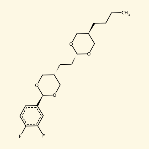 CCCC[C@H]1CO[C@H](CC[C@H]2CO[C@H](c3ccc(F)c(F)c3)OC2)OC1